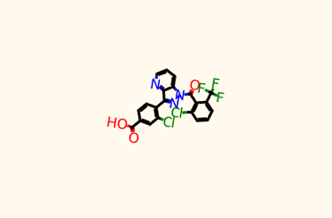 O=C(O)c1ccc(-c2nn(C(=O)c3c(Cl)cccc3C(F)(F)F)c3cccnc23)c(Cl)c1